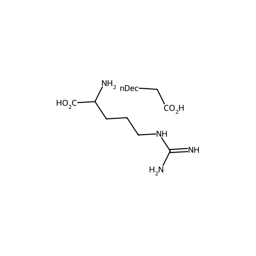 CCCCCCCCCCCC(=O)O.N=C(N)NCCCC(N)C(=O)O